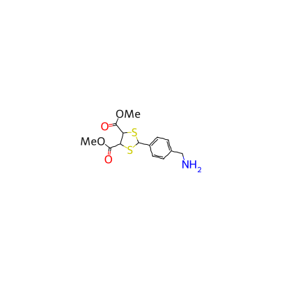 COC(=O)C1SC(c2ccc(CN)cc2)SC1C(=O)OC